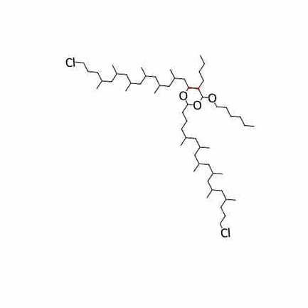 CCCCCCOC(CCCC(C)CC(C)CC(C)CC(C)CC(C)CC(C)CCCCl)OC(CCCC(C)CC(C)CC(C)CC(C)CC(C)CC(C)CCCCl)OCCCCCC